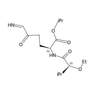 CCO[C@H](C(=O)N[C@@H](CCC(=O)C=N)C(=O)OC(C)C)C(C)C